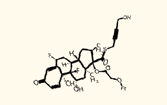 CCOCC(=O)O[C@]1(C(=O)SCC#CCO)[C@H](C)C[C@H]2[C@@H]3C[C@H](F)C4=CC(=O)C=C[C@]4(C)[C@@]3(F)[C@@H](O)C[C@@]21C